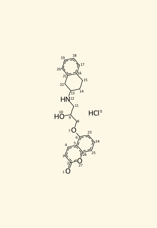 Cl.O=c1ccc2c(OCC(O)CNC3CCc4ccccc4C3)cccc2o1